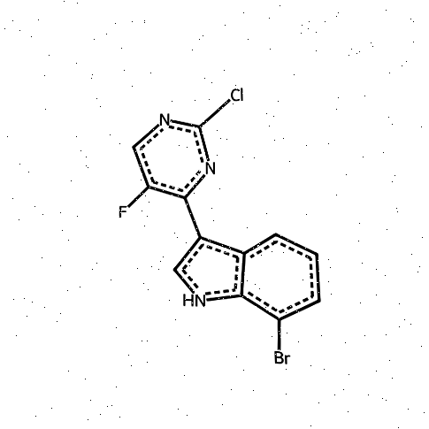 Fc1cnc(Cl)nc1-c1c[nH]c2c(Br)cccc12